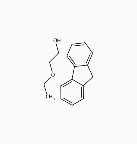 CCOCCO.c1ccc2c(c1)Cc1ccccc1-2